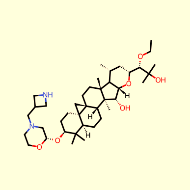 CCO[C@@H]([C@H]1C[C@@H](C)C2[C@H](O1)[C@H](O)[C@@]1(C)[C@@H]3CC[C@H]4C(C)(C)[C@@H](O[C@H]5CN(CC6CNC6)CCO5)CC[C@@]45C[C@@]35CC[C@]21C)C(C)(C)O